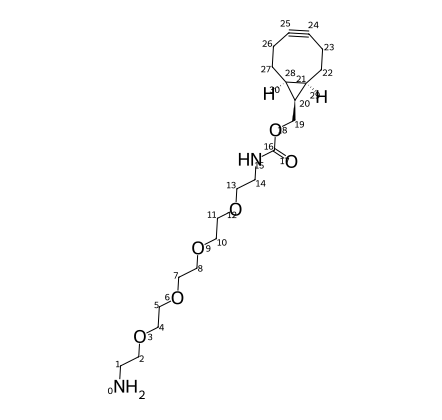 NCCOCCOCCOCCOCCNC(=O)OC[C@@H]1[C@@H]2CCC#CCC[C@@H]21